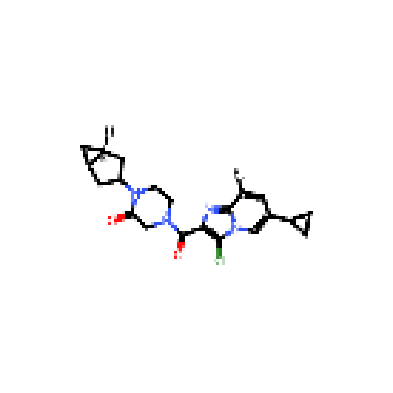 CCc1cc(C2CC2)cn2c(Cl)c(C(=O)N3CCN(C4CC5C[C@@H]5C4)C(=O)C3)nc12